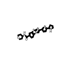 O=C(NC1CCOCC1)c1ccc2c(c1)sc1nc(-c3ccc(C4CCCN4)nc3)cn12